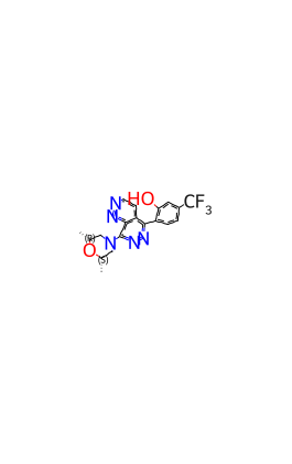 C[C@@H]1CN(c2nnc(-c3ccc(C(F)(F)F)cc3O)c3ccnnc23)C[C@H](C)O1